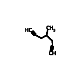 C#CC[C](C)CC#C